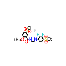 CCS(=O)(=O)c1ccc(N2CCN(C(=O)c3cc(S(C)(=O)=O)ccc3OC(C)(C)C)CC2)c(F)c1F